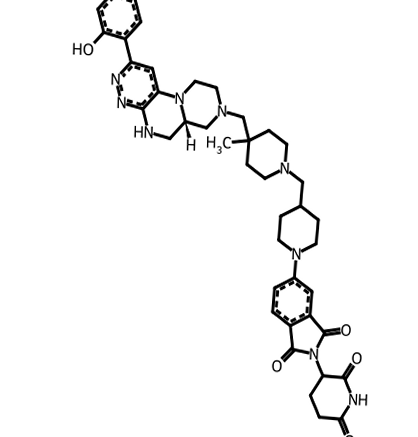 CC1(CN2CCN3c4cc(-c5ccccc5O)nnc4NC[C@H]3C2)CCN(CC2CCN(c3ccc4c(c3)C(=O)N(C3CCC(=O)NC3=O)C4=O)CC2)CC1